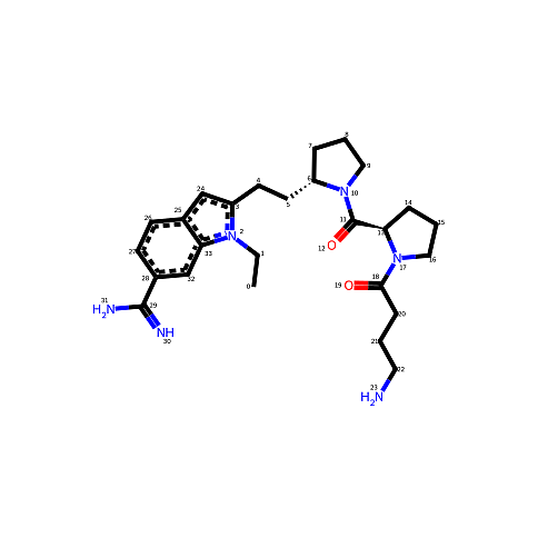 CCn1c(CC[C@@H]2CCCN2C(=O)[C@H]2CCCN2C(=O)CCCN)cc2ccc(C(=N)N)cc21